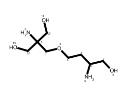 NC(CO)CCOCC(N)(CO)CO